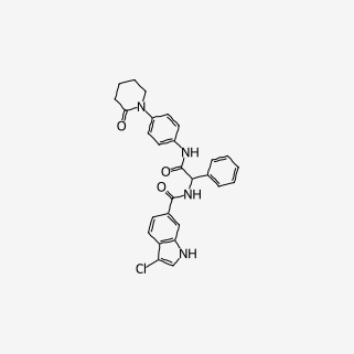 O=C(NC(C(=O)Nc1ccc(N2CCCCC2=O)cc1)c1ccccc1)c1ccc2c(Cl)c[nH]c2c1